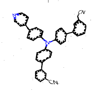 N#Cc1cccc(-c2ccc(N(c3ccc(-c4ccncc4)cc3)c3ccc(-c4cccc(C#N)c4)cc3)cc2)c1